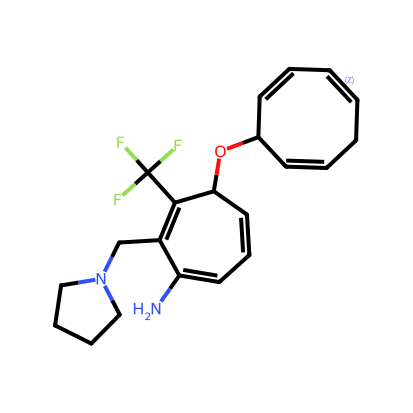 NC1=CC=CC(OC2C=C/C=C\CC=C2)C(C(F)(F)F)=C1CN1CCCC1